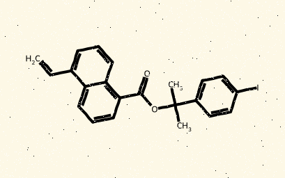 C=Cc1cccc2c(C(=O)OC(C)(C)c3ccc(I)cc3)cccc12